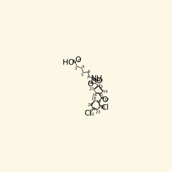 O=C(O)CCCCCNS(=O)(=O)c1ccc(C(=O)c2ccc(Cl)cc2Cl)cc1